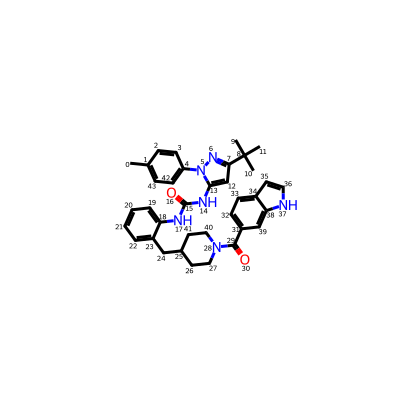 Cc1ccc(-n2nc(C(C)(C)C)cc2NC(=O)Nc2ccccc2CC2CCN(C(=O)c3ccc4cc[nH]c4c3)CC2)cc1